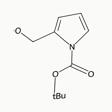 CC(C)(C)OC(=O)n1cccc1C[O]